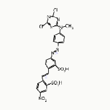 CN(c1ccc(/N=N/c2ccc(/C=C/c3ccc([N+](=O)[O-])cc3S(=O)(=O)O)c(S(=O)(=O)O)c2)cc1)c1nc(Cl)nc(Cl)n1